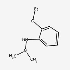 CCOc1ccccc1NN(C)C